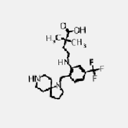 CC(C)(CCNc1cc(C(F)(F)F)ccc1CN1CCCC12CCNCC2)C(=O)O